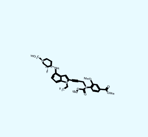 COC(=O)c1ccc(N(CC#Cc2cc3c(N[C@H]4CCN(C(=O)O)C[C@H]4F)cccc3n2CC(F)(F)F)C(=O)OC(C)(C)C)c(OC)c1